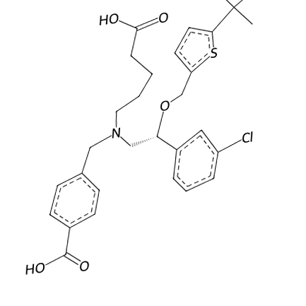 CC(C)(C)c1ccc(CO[C@@H](CN(CCCCC(=O)O)Cc2ccc(C(=O)O)cc2)c2cccc(Cl)c2)s1